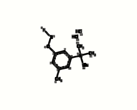 Cc1cc([O][Ti][F])cc([Si](C)(C)C(C)(C)C)c1.Cl.Cl